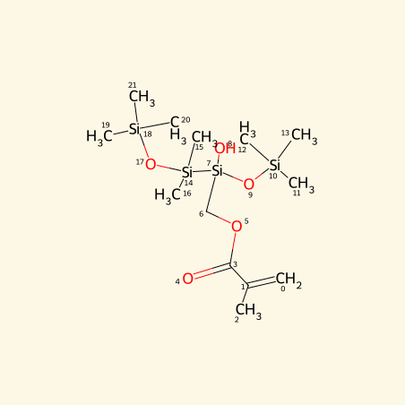 C=C(C)C(=O)OC[Si](O)(O[Si](C)(C)C)[Si](C)(C)O[Si](C)(C)C